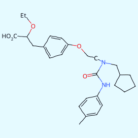 CCOC(Cc1ccc(OCCN(CC2CCCC2)C(=O)Nc2ccc(C)cc2)cc1)C(=O)O